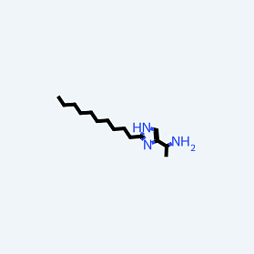 CCCCCCCCCCc1nc(C(C)N)c[nH]1